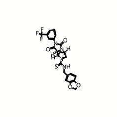 O=C1[C@H]2[C@@H]3C[C@@H](CN3C(=S)NCc3ccc4c(c3)OCO4)N2C(=O)N1c1cccc(C(F)(F)F)c1